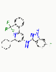 Fc1ccc2c(Nc3cc(-c4ccccc4C(F)(F)F)nc(C4CCCCC4)c3)n[nH]c2c1